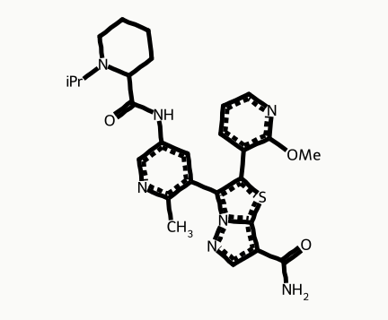 COc1ncccc1-c1sc2c(C(N)=O)cnn2c1-c1cc(NC(=O)C2CCCCN2C(C)C)cnc1C